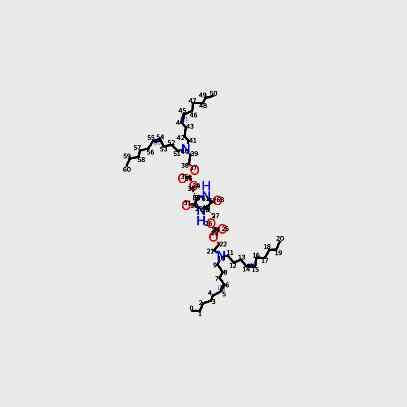 CCCCC/C=C\CCCN(CCC/C=C\CCCCC)CCOC(=O)OC[C@@H]1NC(=O)[C@H](COC(=O)OCCN(CCC/C=C\CCCCC)CCC/C=C\CCCCC)NC1=O